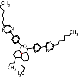 CCCCCCc1cnc(-c2ccc(C(OC(c3ccc(-c4cnc(CCCCCC)cn4)cc3)[C@H]3CC[C@H](CCC)CC3)[C@H]3CC[C@H](CCC)CC3)cc2)cn1